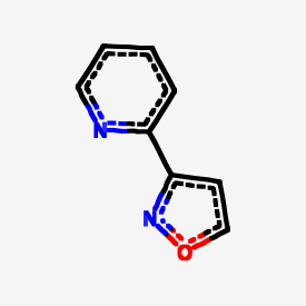 c1ccc(-c2ccon2)nc1